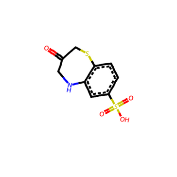 O=C1CNc2cc(S(=O)(=O)O)ccc2SC1